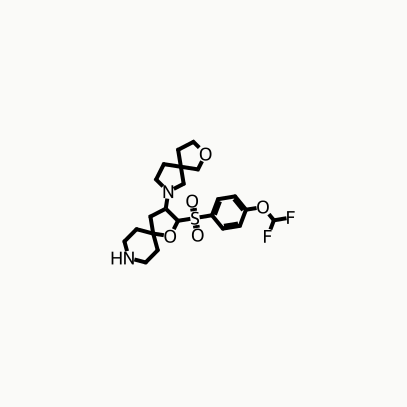 O=S(=O)(c1ccc(OC(F)F)cc1)C1OC2(CCNCC2)CC1N1CCC2(CCOC2)C1